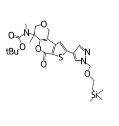 CN(C(=O)OC(C)(C)C)C1(C)COCc2c1oc(=O)c1sc(-c3cnn(COCC[Si](C)(C)C)c3)cc21